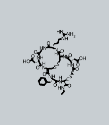 CCNC(=O)[C@@H]1CSCC(=O)N[C@@H](CC(=O)O)C(=O)N[C@H]2CSSC[C@H](NC(=O)[C@H](CC(=O)O)NC(=O)CNC(=O)[C@H](CCCNC(=N)N)NC2=O)C(=O)N[C@@H](Cc2ccccc2)C(=O)N1